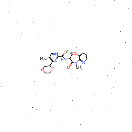 Cc1cnc(C(=O)NC2C(=O)N(C)c3ncccc3O[C@H]2Cl)nc1C1COCCO1